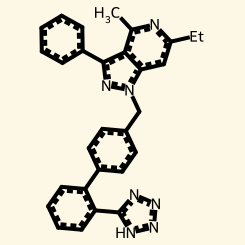 CCc1cc2c(c(C)n1)c(-c1ccccc1)nn2Cc1ccc(-c2ccccc2-c2nnn[nH]2)cc1